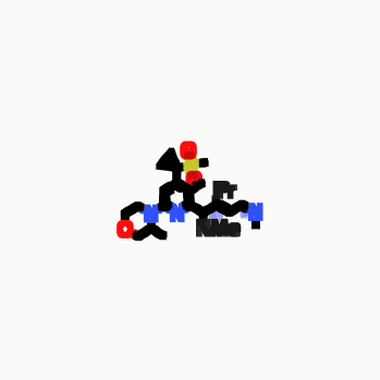 C/N=C\C=C(/C(C)C)C(NC)c1nc(N2CCOCC2C)cc(C2(S(C)(=O)=O)CC2)c1C